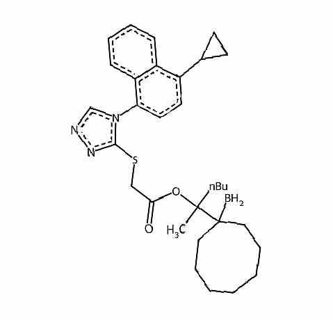 BC1(C(C)(CCCC)OC(=O)CSc2nncn2-c2ccc(C3CC3)c3ccccc23)CCCCCCC1